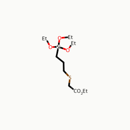 CCOC(=O)CSCCC[Si](OCC)(OCC)OCC